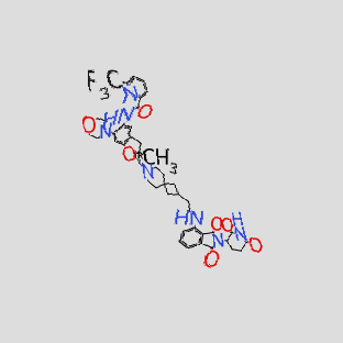 C[C@]1(CN2CCC3(CC2)CC(CCNc2cccc4c2C(=O)N(C2CCC(=O)NC2=O)C4=O)C3)Cc2cc(NC(=O)c3cccc(C(F)(F)F)n3)c(N3CCOCC3)cc2O1